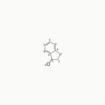 O=C1C[CH]c2ccccc21